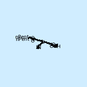 CCCCCC(CCCCC)CCOC(=O)CCCCCCCN(CCCCCCCC(=O)O[C@@H]1CC2[C@@H]3C[C@@]1(C)C23C)CCCCc1nccs1